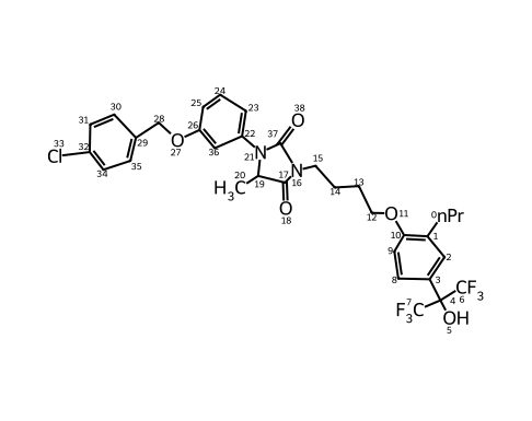 CCCc1cc(C(O)(C(F)(F)F)C(F)(F)F)ccc1OCCCCN1C(=O)C(C)N(c2cccc(OCc3ccc(Cl)cc3)c2)C1=O